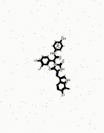 Cc1c(Cl)ccc2c(/C=C3\NC(=O)N(C(C(=O)NC45CCC(O)(CC4)CC5)c4ccc(F)c(F)c4)C3=O)c[nH]c12